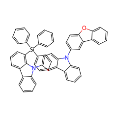 c1ccc([Si](c2ccccc2)(c2ccccc2)c2cccc3c4ccccc4n(-c4ccc5c(c4)c4ccccc4n5-c4ccc5oc6ccccc6c5c4)c23)cc1